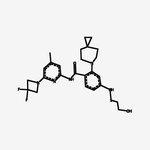 Cc1cc(NC(=O)c2ccc(NSCCO)cc2N2CCC3(CC2)CC3)nc(N2CC(F)(F)C2)c1